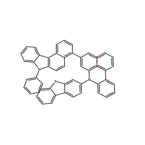 c1ccc(-c2ccccc2N(c2cccc(-c3cccc4c3ccc3c4c4ccccc4n3-c3ccccc3)c2)c2ccc3c(c2)sc2ccccc23)cc1